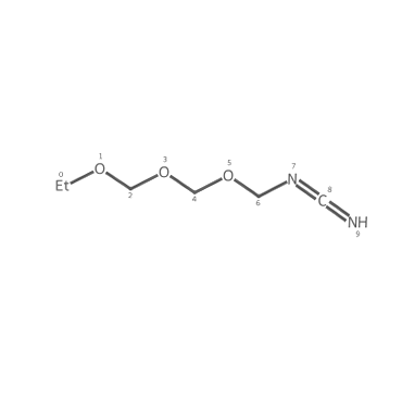 CCOCOCOCN=C=N